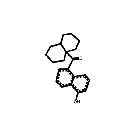 O=C(c1cccc2c(O)cccc12)C12CCCCC1CCCC2